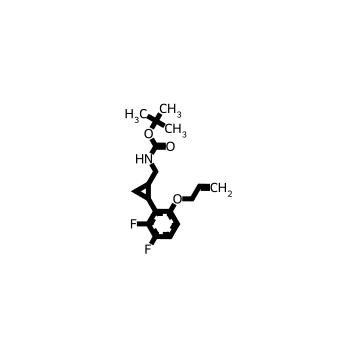 C=CCOc1ccc(F)c(F)c1C1CC1CNC(=O)OC(C)(C)C